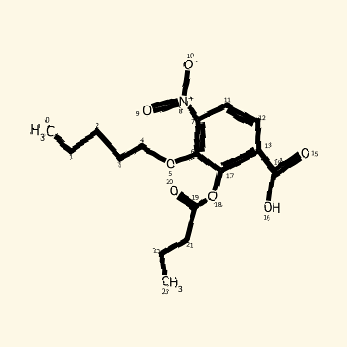 CCCCCOc1c([N+](=O)[O-])ccc(C(=O)O)c1OC(=O)CCC